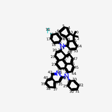 CC1(C)c2ccccc2-c2c(N(c3ccc(F)cc3)c3ccc4ccc5c(N(c6ccccc6)c6cc7ccccc7cn6)ccc6ccc3c4c65)cccc21